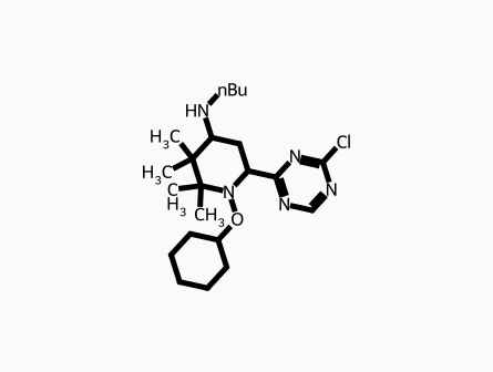 CCCCNC1CC(c2ncnc(Cl)n2)N(OC2CCCCC2)C(C)(C)C1(C)C